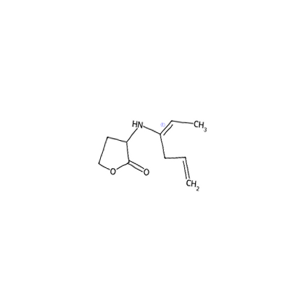 C=CC/C(=C\C)NC1CCOC1=O